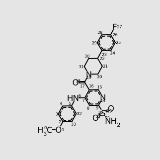 COc1ccc(Nc2cc(S(N)(=O)=O)ncc2C(=O)N2CCC(c3ccc(F)cc3)CC2)cc1